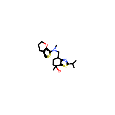 CC(C)c1nc2c(s1)C(C)(O)CCC2CN(C)c1scc2c1OCCC2